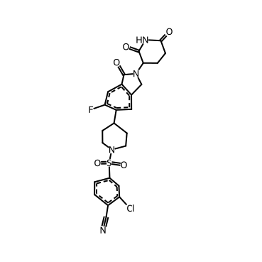 N#Cc1ccc(S(=O)(=O)N2CCC(c3cc4c(cc3F)C(=O)N(C3CCC(=O)NC3=O)C4)CC2)cc1Cl